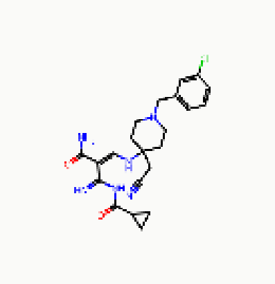 N#CCC1(N/C=C(\C(=N)NC(=O)C2CC2)C(N)=O)CCN(Cc2cccc(Cl)c2)CC1